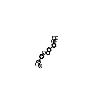 CC[C@H](CC(=O)OC)c1ccc(OC2CCc3cc(-c4cccc(OC(F)(F)F)c4)ccc32)cc1